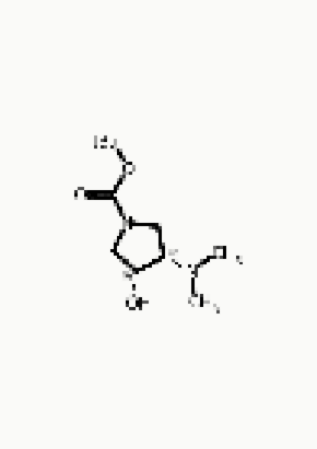 CN(C)[C@H]1CN(C(=O)OC(C)(C)C)C[C@H]1O